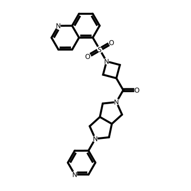 O=C(C1CN(S(=O)(=O)c2cccc3ncccc23)C1)N1CC2CN(c3ccncc3)CC2C1